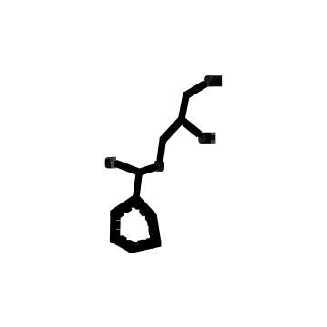 OCC(O)COC(Cl)c1ccccc1